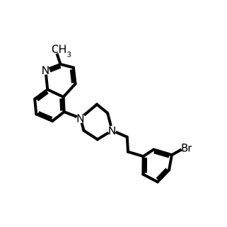 Cc1ccc2c(N3CCN(CCc4cccc(Br)c4)CC3)cccc2n1